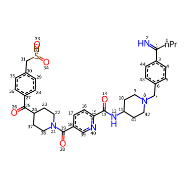 CCCC(=N)c1ccc(CN2CCC(NC(=O)c3ccc(C(=O)N4CCC(C(=O)c5ccc(C[SH](=O)=O)cc5)CC4)cn3)CC2)cc1